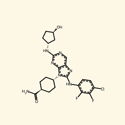 NC(=O)[C@H]1CC[C@H](n2c(Nc3ccc(Cl)c(F)c3F)nc3cnc(N[C@@H]4CC[C@@H](O)C4)nc32)CC1